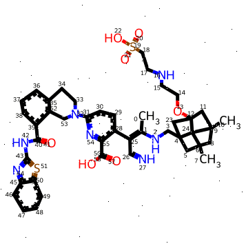 C/C(NCC12CC3(C)CC4(C)CC(OCCNCCS(=O)(=O)O)(C1)C342)=C(/C=N)c1ccc(N2CCc3cccc(C(=O)Nc4nc5ccccc5s4)c3C2)nc1C(=O)O